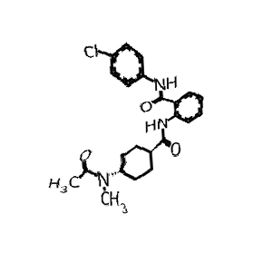 CC(=O)N(C)[C@H]1CC[C@H](C(=O)Nc2ccccc2C(=O)Nc2ccc(Cl)cc2)CC1